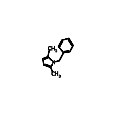 Cc1ccc(C)n1Cc1ccccc1